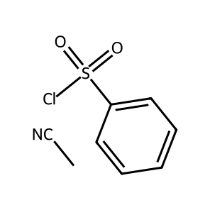 CC#N.O=S(=O)(Cl)c1ccccc1